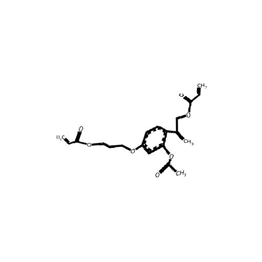 C=CC(=O)OCCCOc1ccc(C(=C)COC(=O)C=C)c(OC(C)=O)c1